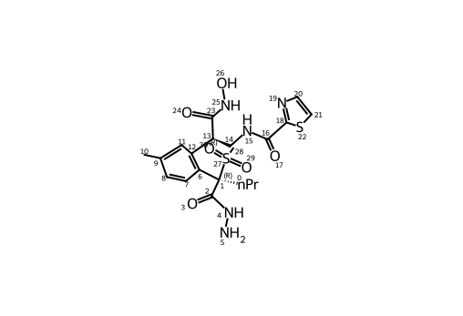 CCC[C@](C(=O)NN)(c1ccc(C)cc1[C@H](CNC(=O)c1nccs1)C(=O)NO)S(C)(=O)=O